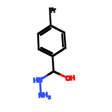 CC(C)c1ccc(C(O)NN)cc1